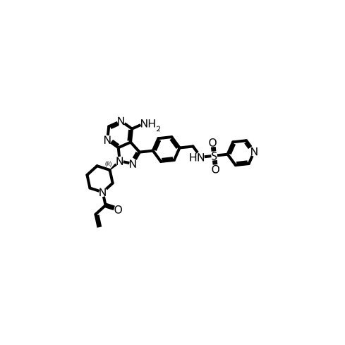 C=CC(=O)N1CCC[C@@H](n2nc(-c3ccc(CNS(=O)(=O)c4ccncc4)cc3)c3c(N)ncnc32)C1